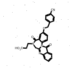 N#Cc1ccc(COc2ccc3c(c2)C(=O)N(CCC(=O)O)Cc2nc4ccccc4c(=O)n2-3)cc1